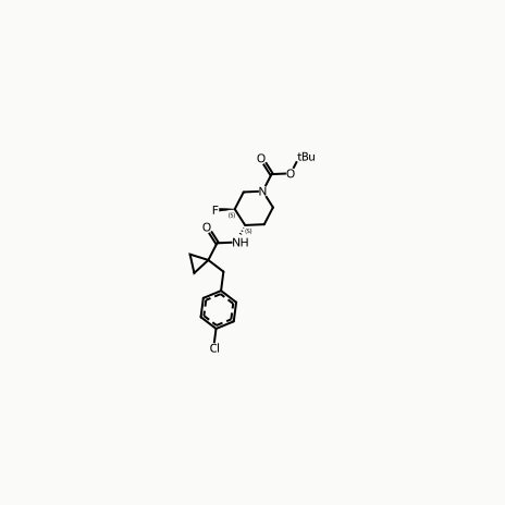 CC(C)(C)OC(=O)N1CC[C@H](NC(=O)C2(Cc3ccc(Cl)cc3)CC2)[C@@H](F)C1